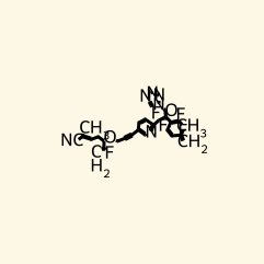 C=C(F)/C=C\C(=C(/C)F)C1(C(F)(F)c2ccc(C#CCOC(C/C=C(\C)C#N)C(=C)F)cn2)OC1n1cnnn1